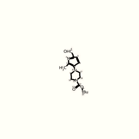 Cc1nc(C=O)ccc1N1CCN(C(=O)OC(C)(C)C)CC1